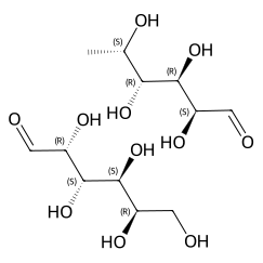 C[C@H](O)[C@@H](O)[C@@H](O)[C@H](O)C=O.O=C[C@H](O)[C@@H](O)[C@@H](O)[C@H](O)CO